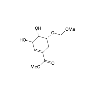 COCO[C@@H]1CC(C(=O)OC)=CC(O)[C@@H]1O